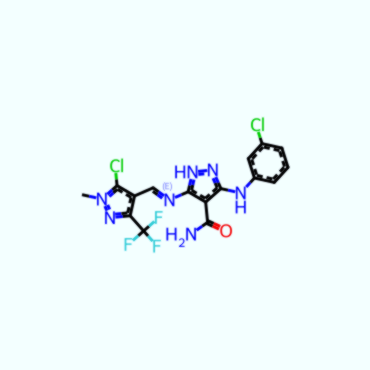 Cn1nc(C(F)(F)F)c(/C=N/c2[nH]nc(Nc3cccc(Cl)c3)c2C(N)=O)c1Cl